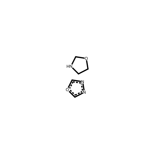 C1COCN1.c1nnco1